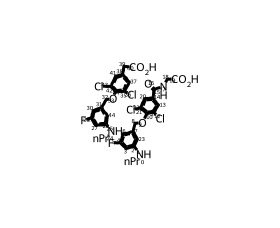 CCCNc1cc(F)cc(COc2c(Cl)cc(C(=O)NCC(=O)O)cc2Cl)c1.CCCNc1cc(F)cc(COc2c(Cl)cc(CC(=O)O)cc2Cl)c1